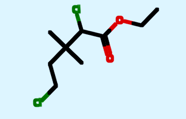 CCOC(=O)C(Cl)C(C)(C)CCCl